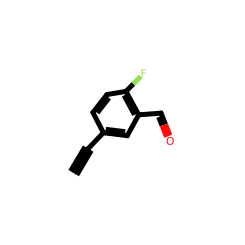 C#Cc1ccc(F)c(C=O)c1